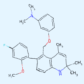 COc1cc(F)ccc1-c1ccc2c(c1COc1cccc(N(C)C)c1)C(C)=CC(C)(C)N2